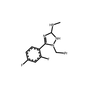 CBC1N=C(c2ccc(F)cc2F)N(CC(C)C)N1